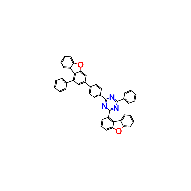 c1ccc(-c2nc(-c3ccc(-c4cc(-c5ccccc5)c5c(c4)oc4ccccc45)cc3)nc(-c3cccc4oc5ccccc5c34)n2)cc1